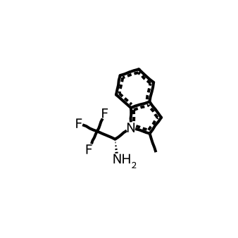 Cc1cc2ccccc2n1[C@H](N)C(F)(F)F